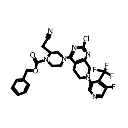 N#CCC1CN(c2nc(Cl)nc3c2CCN(c2cncc(F)c2C(F)(F)F)C3)CCN1C(=O)OCc1ccccc1